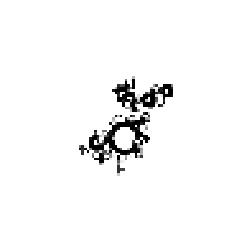 CC[C@H]1OC(=O)[C@H](C)[C@@H](O)[C@H](C)[C@@H](O[C@@H]2O[C@H](C)C[C@H](N(C)C)[C@H]2OC(C)=O)[C@](C)(OC)C[C@@H](C)C(=O)C(C)C2C(SCCN(Cc3c(Cl)cncc3Cl)c3ccc(OC)c(OC4CCCC4)c3)C(=O)O[C@@]21C